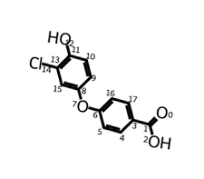 O=C(O)c1ccc(Oc2ccc(O)c(Cl)c2)cc1